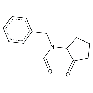 O=CN(Cc1ccccc1)C1CCCC1=O